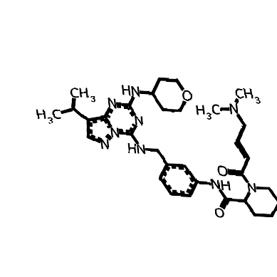 CC(C)c1cnn2c(NCc3cccc(NC(=O)C4CCCCN4C(=O)C=CCN(C)C)c3)nc(NC3CCOCC3)nc12